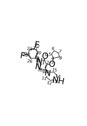 O=c1c(OC2CCCC2)c(N2CCNCC2)cnn1-c1cc(F)cc(F)c1